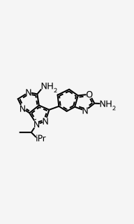 CC(C)C(C)n1nc(-c2ccc3oc(N)nc3c2)c2c(N)ncnc21